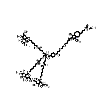 C#CO[PH](=O)OCCCC1CCCC(C(=N)CCCCCCOCCOCCC(=O)N2CCC(C(=O)NC(COCCC(=O)NCCCCCCOC3OC(CO)C(O)C(O)C3NC(C)=O)(COCCC(=O)NCCCCCCOC3OC(CO)C(O)C(O)C3NC(C)=O)COCCC(=O)NCCCCCCOC3OC(CO)C(O)C(O)C3NC(C)=O)CC2)/C(=C(/C)N)CC1